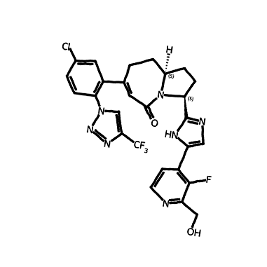 O=C1C=C(c2cc(Cl)ccc2-n2cc(C(F)(F)F)nn2)CC[C@H]2CC[C@@H](c3ncc(-c4ccnc(CO)c4F)[nH]3)N12